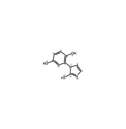 Oc1ccc(O)c(-n2ccnc2S)c1